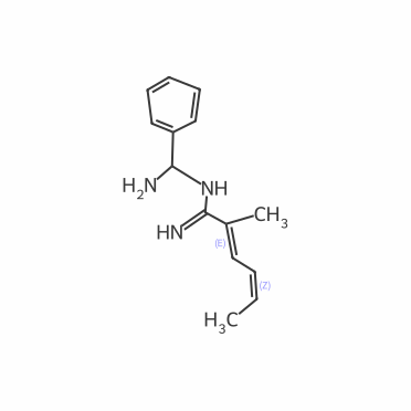 C/C=C\C=C(/C)C(=N)NC(N)c1ccccc1